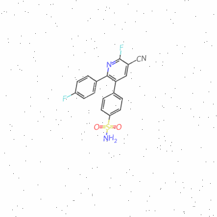 N#Cc1cc(-c2ccc(S(N)(=O)=O)cc2)c(-c2ccc(F)cc2)nc1F